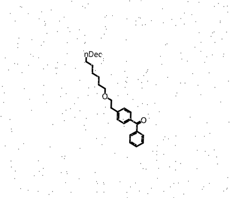 CCCCCCCCCCCCCCCCOCCc1ccc(C(=O)c2ccccc2)cc1